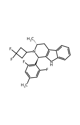 Cc1cc(F)c([C@@H]2c3[nH]c4ccccc4c3C[C@@H](C)N2C2CC(F)(F)C2)c(F)c1